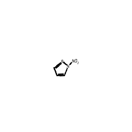 O=[N+]([O-])n1bccc1